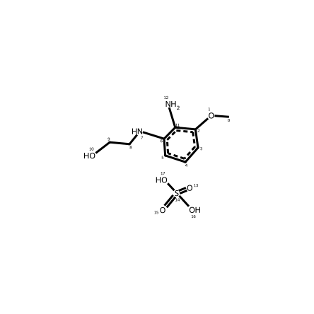 COc1cccc(NCCO)c1N.O=S(=O)(O)O